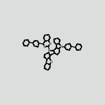 c1ccc(-c2ccc(-c3nc(-n4c5ccc6c7ccccc7oc6c5c5ccc6c(c7ccccc7n6-c6ccc(-c7ccccc7)cc6)c54)nc4ccccc34)cc2)cc1